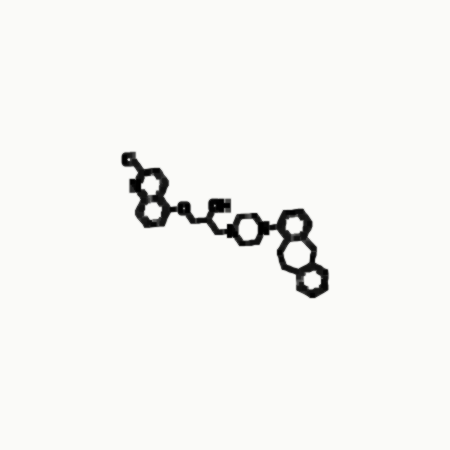 OC(COc1cccc2nc(Cl)ccc12)CN1CCN(c2cccc3c2CCc2ccccc2C3)CC1